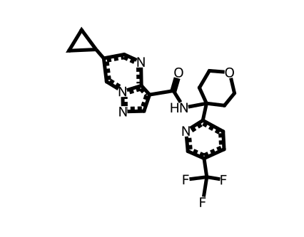 O=C(NC1(c2ccc(C(F)(F)F)cn2)CCOCC1)c1cnn2cc(C3CC3)cnc12